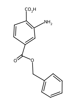 Nc1cc(C(=O)OCc2ccccc2)ccc1C(=O)O